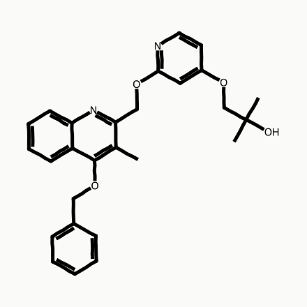 Cc1c(COc2cc(OCC(C)(C)O)ccn2)nc2ccccc2c1OCc1ccccc1